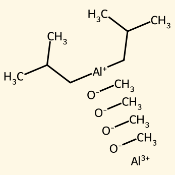 CC(C)[CH2][Al+][CH2]C(C)C.C[O-].C[O-].C[O-].C[O-].[Al+3]